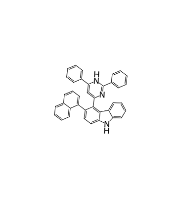 C1=C(c2ccccc2)NC(c2ccccc2)=NC=1c1c(-c2cccc3ccccc23)ccc2[nH]c3ccccc3c12